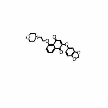 O=C1C(Oc2ccc3c(c2)OCO3)=CC(=O)c2c(OCCN3CCOCC3)cccc21